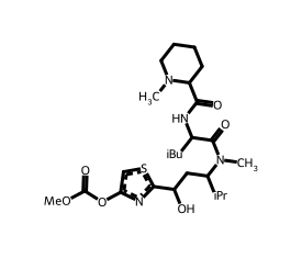 CCC(C)C(NC(=O)C1CCCCN1C)C(=O)N(C)C(CC(O)c1nc(OC(=O)OC)cs1)C(C)C